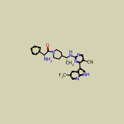 C[C@@H](Nc1ncc(C#N)c(-c2c[nH]c3ncc(C(F)(F)F)cc23)n1)C1CCN(C(=O)[C@H](N)c2ccccc2)CC1